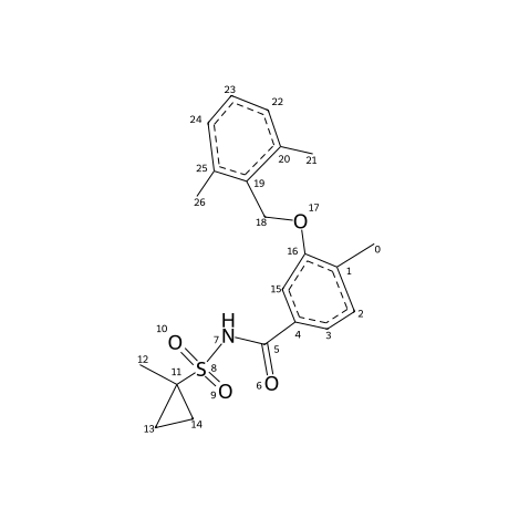 Cc1ccc(C(=O)NS(=O)(=O)C2(C)CC2)cc1OCc1c(C)cccc1C